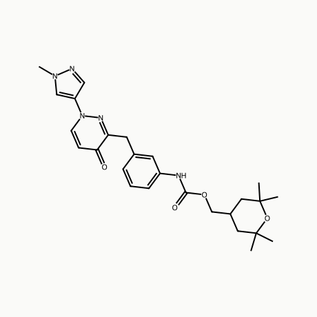 Cn1cc(-n2ccc(=O)c(Cc3cccc(NC(=O)OCC4CC(C)(C)OC(C)(C)C4)c3)n2)cn1